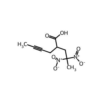 CC#CCC(CC(C)([N+](=O)[O-])[N+](=O)[O-])C(=O)O